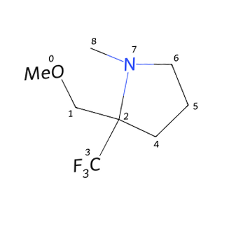 COCC1(C(F)(F)F)CCCN1C